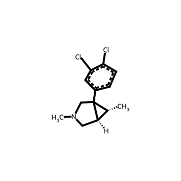 C[C@@H]1[C@H]2CN(C)CC12c1ccc(Cl)c(Cl)c1